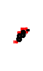 CC(=O)OC1=C(O)CC2C3C(CC[C@]12C)C1=C(C[C@@H](O)CC1)C[C@@H]3O